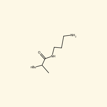 CCCCC(C)C(=O)NCCCN